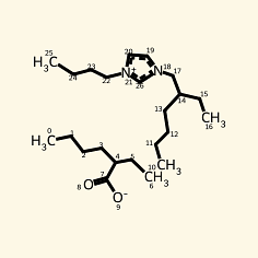 CCCCC(CC)C(=O)[O-].CCCCC(CC)Cn1cc[n+](CCCC)c1